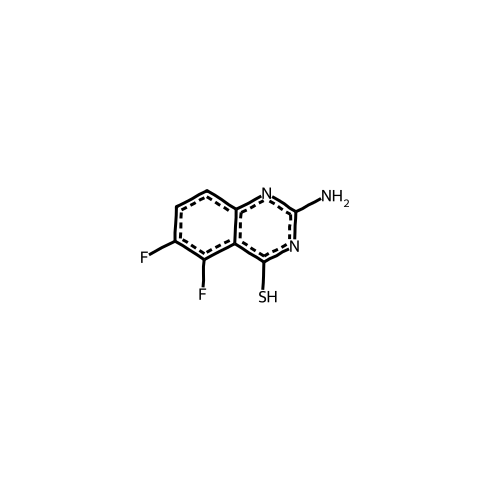 Nc1nc(S)c2c(F)c(F)ccc2n1